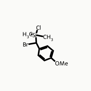 COc1ccc(C(Br)[Si](C)(C)Cl)cc1